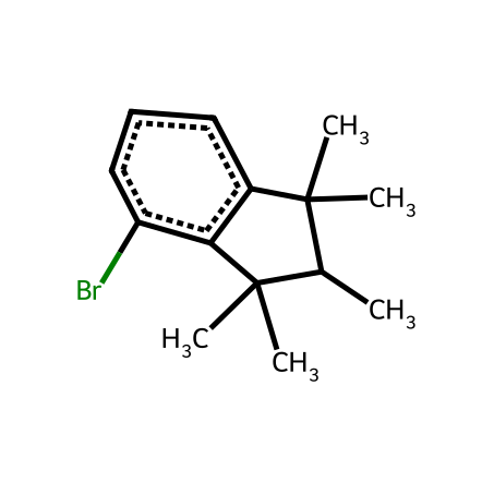 CC1C(C)(C)c2cccc(Br)c2C1(C)C